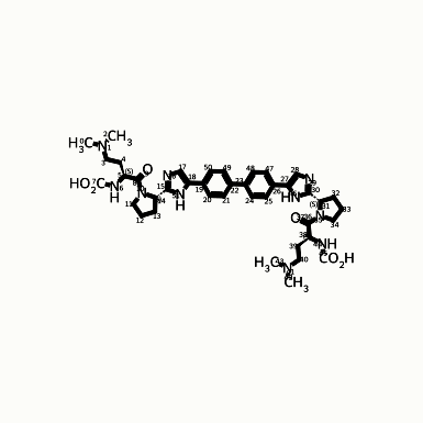 CN(C)CC[C@H](NC(=O)O)C(=O)N1CCC[C@H]1c1ncc(-c2ccc(-c3ccc(-c4cnc([C@@H]5CCCN5C(=O)[C@H](CCN(C)C)NC(=O)O)[nH]4)cc3)cc2)[nH]1